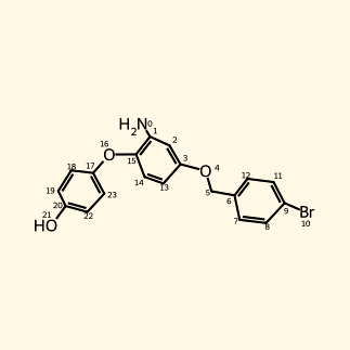 Nc1cc(OCc2ccc(Br)cc2)ccc1Oc1ccc(O)cc1